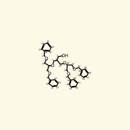 OCC(COC(COCc1ccccc1)COCc1ccccc1)COC(COCc1ccccc1)COCc1ccccc1